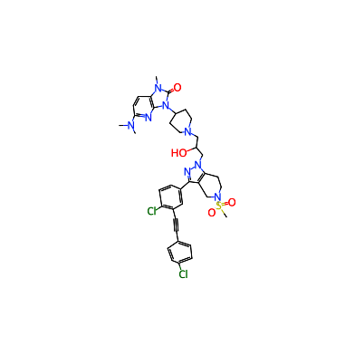 CN(C)c1ccc2c(n1)n(C1CCN(CC(O)Cn3nc(-c4ccc(Cl)c(C#Cc5ccc(Cl)cc5)c4)c4c3CCN(S(C)(=O)=O)C4)CC1)c(=O)n2C